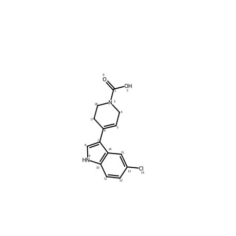 O=C(O)N1CC=C(c2c[nH]c3ccc(Cl)cc23)CC1